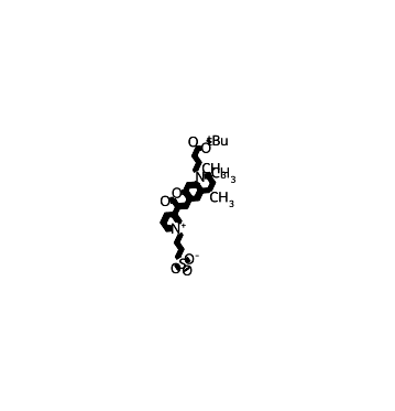 CC1CC(C)(C)N(CCCC(=O)OC(C)(C)C)c2cc3oc(=O)c(-c4ccc[n+](CCCCS(=O)(=O)[O-])c4)cc3cc21